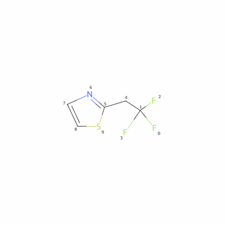 FC(F)(F)Cc1nccs1